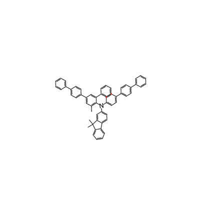 Cc1cc(-c2ccc(-c3ccccc3)cc2)cc(-c2ccccc2)c1N(c1ccc(-c2ccc(-c3ccccc3)cc2)cc1)c1ccc2c(c1)C(C)(C)c1ccccc1-2